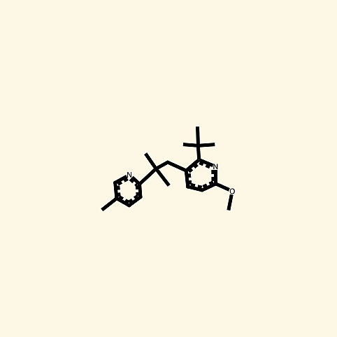 COc1ccc(CC(C)(C)c2ccc(C)cn2)c(C(C)(C)C)n1